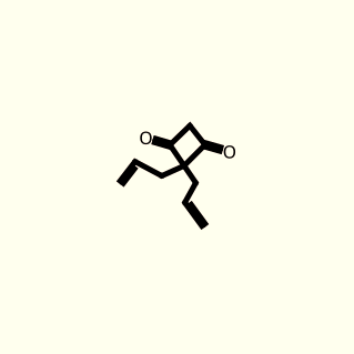 C=CCC1(CC=C)C(=O)CC1=O